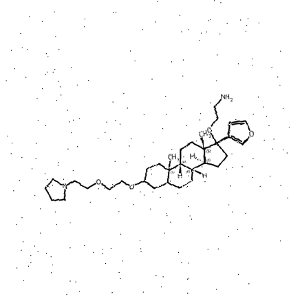 C[C@]12CCC(OCCOCCN3CCCC3)CC1CC[C@@H]1[C@H]2CC[C@@]2(C)[C@H]1CCC2(OCCN)c1ccoc1